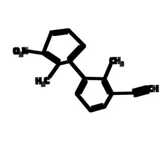 C#Cc1cccc(-c2cccc([N+](=O)[O-])c2C)c1C